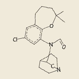 CC1(C)CCCc2cc(Cl)cc(N(C=O)C3CN4CCC3CC4)c2O1